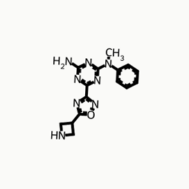 CN(c1ccccc1)c1nc(N)nc(-c2noc(C3CNC3)n2)n1